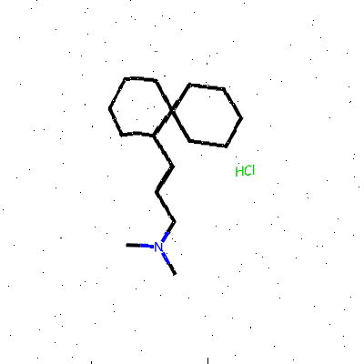 CN(C)CCCC1CCCCC12CCCCC2.Cl